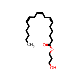 CCCCC/C=C\C/C=C\C/C=C\CCCCC(=O)OCCCO